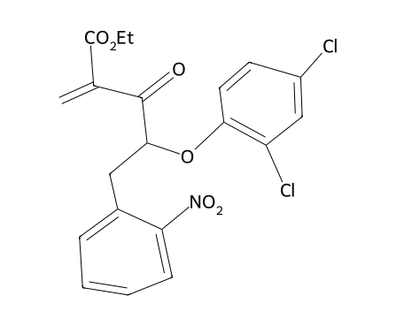 C=C(C(=O)OCC)C(=O)C(Cc1ccccc1[N+](=O)[O-])Oc1ccc(Cl)cc1Cl